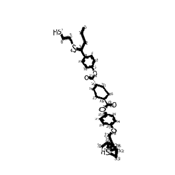 CCCC(SCCS)c1ccc(OC(=O)[C@H]2CC[C@H](C(=O)Oc3ccc(OCC[SH]456CC4C5C6)cc3)CC2)cc1